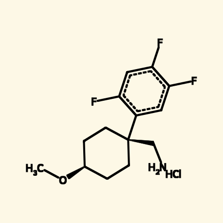 CO[C@H]1CC[C@](CN)(c2cc(F)c(F)cc2F)CC1.Cl